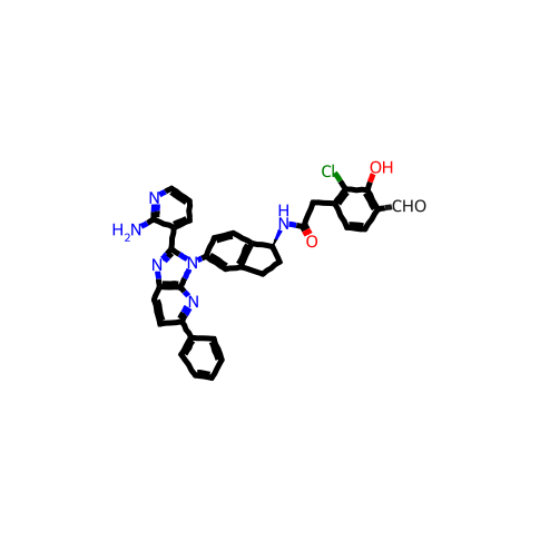 Nc1ncccc1-c1nc2ccc(-c3ccccc3)nc2n1-c1ccc2c(c1)CC[C@@H]2NC(=O)Cc1ccc(C=O)c(O)c1Cl